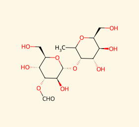 CC1O[C@@H](CO)[C@@H](O)[C@H](O)[C@@H]1O[C@H]1O[C@H](CO)[C@@H](O)[C@@H](OC=O)[C@@H]1O